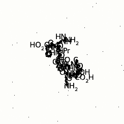 CC(C)C[C@H](NC(=O)[C@@H]1CCCN1C(=O)[C@H](CCCCN)NC(=O)[C@H](CC(=O)O)NC(=O)[C@@H](NC(=O)[C@@H](N)CC(=O)O)[C@@H](C)O)C(=O)NCC(=O)N[C@H](C(=O)N[C@@H](CCCNC(=N)N)C(=O)N[C@@H](Cc1ccccc1)C(=O)O)C(C)C